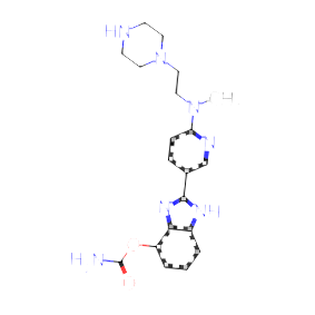 CN(CCN1CCNCC1)c1ccc(-c2nc3c(OC(N)=O)cccc3[nH]2)cn1